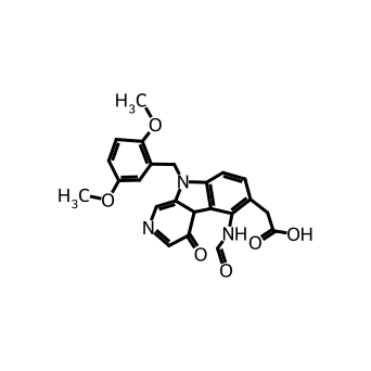 COc1ccc(OC)c(CN2C3=CN=CC(=O)C3c3c2ccc(CC(=O)O)c3NC=O)c1